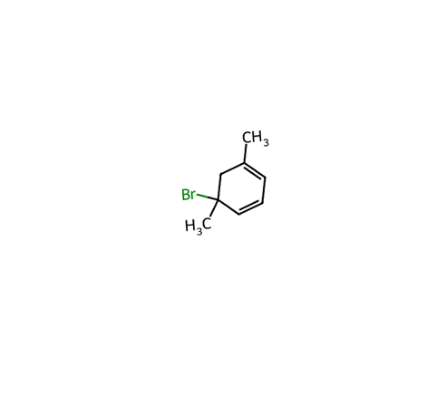 CC1=CC=CC(C)(Br)C1